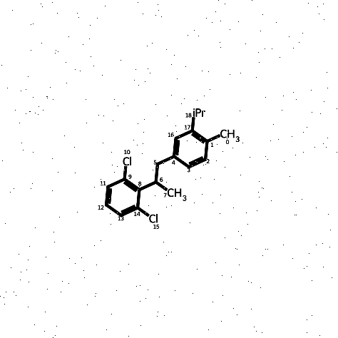 Cc1ccc(CC(C)c2c(Cl)cccc2Cl)cc1C(C)C